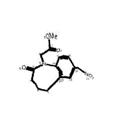 COC(=O)CN1C(=O)CCCc2cc([N+](=O)[O-])ccc21